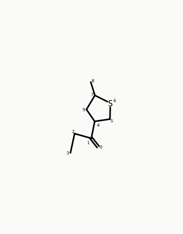 C=C(CC)C1CSC(C)C1